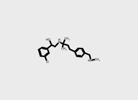 CNCc1ccc(CCC(C)(C)NCC(O)c2cccc(Cl)c2)cc1